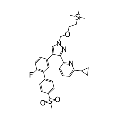 C[Si](C)(C)CCOCn1cc(-c2ccc(F)c(-c3ccc(S(C)(=O)=O)cc3)c2)c(-c2cccc(C3CC3)n2)n1